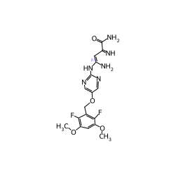 COc1cc(OC)c(F)c(COc2cnc(N/C(N)=C/C(=N)C(N)=O)nc2)c1F